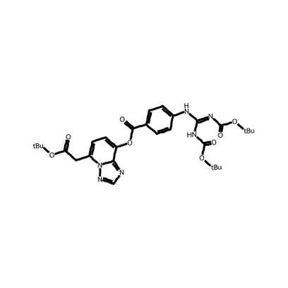 CC(C)(C)OC(=O)Cc1ccc(OC(=O)c2ccc(N/C(=N/C(=O)OC(C)(C)C)NC(=O)OC(C)(C)C)cc2)c2ncnn12